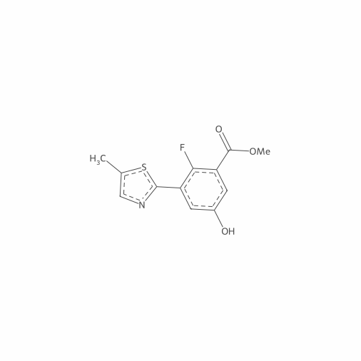 COC(=O)c1cc(O)cc(-c2ncc(C)s2)c1F